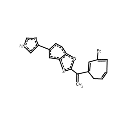 C=C(C1=CC(CC)=CC=CC1)c1nc2ccc(-c3c[nH]cn3)cc2s1